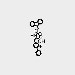 O=C(NC(Cc1ccc(-c2ccccc2)c(F)c1)C(=O)O)OCC1c2ccccc2-c2ccccc21